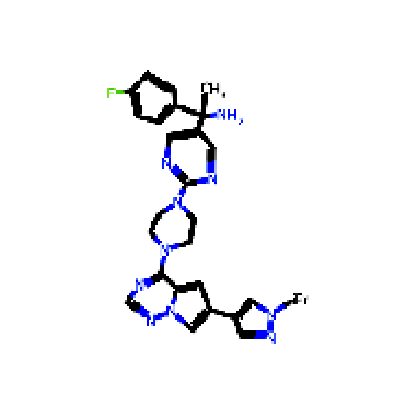 CC(C)n1cc(-c2cc3c(N4CCN(c5ncc(C(C)(N)c6ccc(F)cc6)cn5)CC4)ncnn3c2)cn1